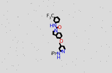 CC(C)Nc1cc(COc2ccc3c(ccn3C(=O)Nc3cccc(C(F)(F)F)c3)c2)ccn1